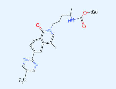 Cc1cn(CCCC(C)NC(=O)OC(C)(C)C)c(=O)c2ccc(-c3ncc(C(F)(F)F)cn3)cc12